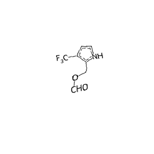 O=COCc1[nH]ccc1C(F)(F)F